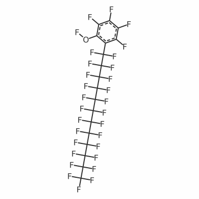 FOc1c(F)c(F)c(F)c(F)c1C(F)(F)C(F)(F)C(F)(F)C(F)(F)C(F)(F)C(F)(F)C(F)(F)C(F)(F)C(F)(F)C(F)(F)C(F)(F)C(F)(F)F